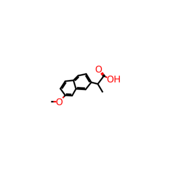 COc1ccc2ccc(C(C)C(=O)O)cc2c1